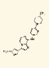 CN1CCN(c2ccc(Nc3nccn4c(-c5cnn(C)c5)cnc34)cn2)CC1